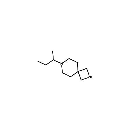 CCC(C)N1CCC2(CC1)CNC2